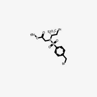 CCOC(=O)[C@H](CC(C)C)N(CC(=O)OC(C)(C)C)S(=O)(=O)c1ccc(CBr)cc1